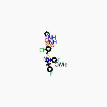 COc1cc(-n2c(C(C)(C)c3ccc(F)cc3)cnc2SCc2ccc(S(=O)(=O)NC(=O)NN3CCCC3)cc2Cl)ccc1F